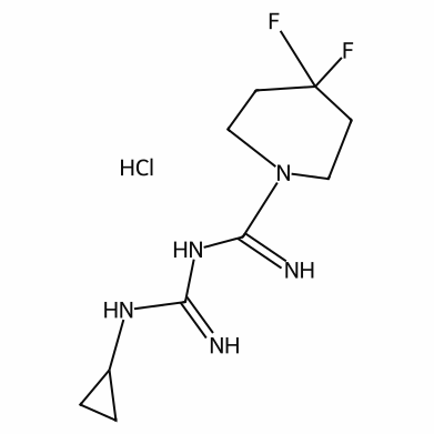 Cl.N=C(NC(=N)N1CCC(F)(F)CC1)NC1CC1